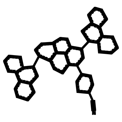 N#Cc1ccc(-c2cc(-c3cc4ccccc4c4ccccc34)c3ccc4ccc(-c5cc6ccccc6c6ccccc56)c5ccc2c3c45)cc1